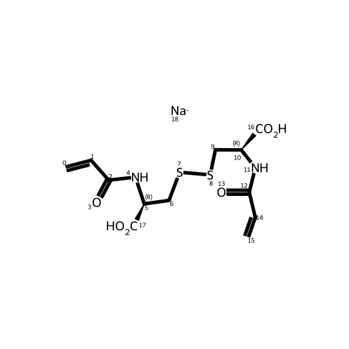 C=CC(=O)N[C@@H](CSSC[C@H](NC(=O)C=C)C(=O)O)C(=O)O.[Na]